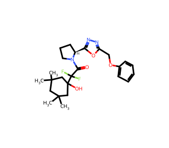 CC1(C)CC(C)(C)CC(O)(C(F)(F)C(=O)N2CCC[C@H]2c2nnc(COc3ccccc3)o2)C1